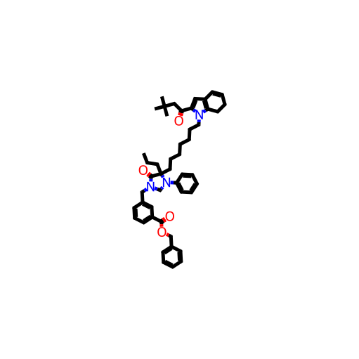 CCCC1(CCCCCCCn2c(C(=O)CC(C)(C)C)cc3c2CCC=C3)C(=O)N(Cc2cccc(C(=O)OCc3ccccc3)c2)CN1c1ccccc1